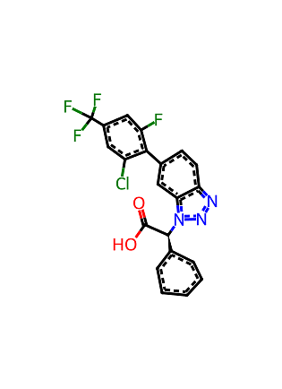 O=C(O)[C@H](c1ccccc1)n1nnc2ccc(-c3c(F)cc(C(F)(F)F)cc3Cl)cc21